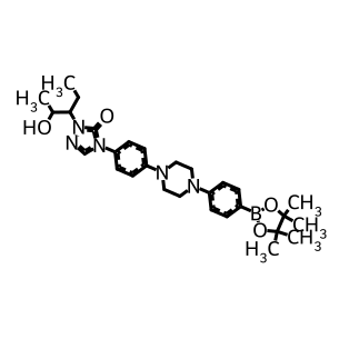 CCC(C(C)O)n1ncn(-c2ccc(N3CCN(c4ccc(B5OC(C)(C)C(C)(C)O5)cc4)CC3)cc2)c1=O